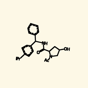 CC(=O)N1CC(O)CC1C(=O)NC(c1ccccc1)c1ccc(C(C)C)cc1